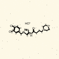 Cl.O=C(CCCN1CCOCC1)Nc1cn(Cc2ccc(Cl)c(Cl)c2)nn1